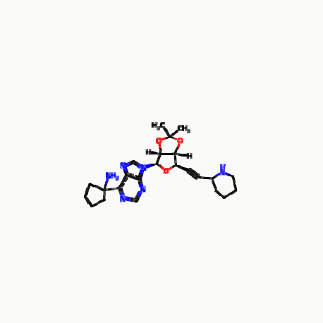 CC1(C)O[C@@H]2[C@H](O1)[C@@H](C#CC1CCCCN1)O[C@H]2n1cnc2c(C3(N)CCCC3)ncnc21